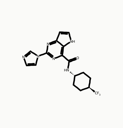 O=C(N[C@H]1CC[C@H](C(F)(F)F)CC1)c1nc(-n2ccnc2)nc2cc[nH]c12